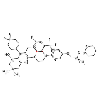 C[C@@H](COc1cnc(N2CCC(c3nc4c(c(C5CCC(F)(F)CC5)c3Cc3ccc(C(F)(F)F)cc3F)[C@@H](O)CC(C)(C)C4)CC2)nc1)O[C@H]1CCCCO1